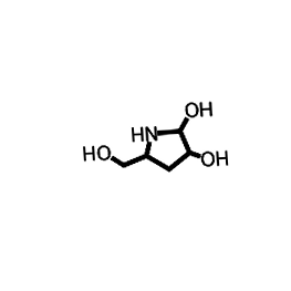 OCC1CC(O)C(O)N1